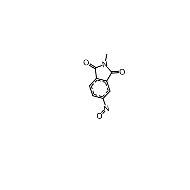 CN1C(=O)c2ccc(N=O)cc2C1=O